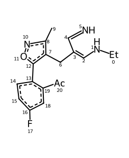 CCN/C=C(\C=N)Cc1c(C)noc1-c1ccc(F)cc1C(C)=O